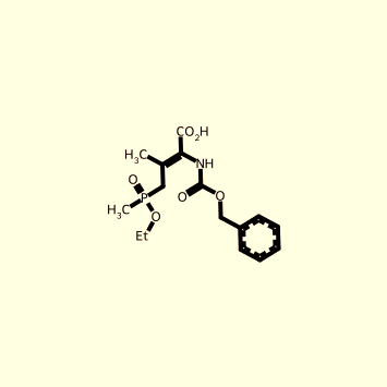 CCOP(C)(=O)CC(C)=C(NC(=O)OCc1ccccc1)C(=O)O